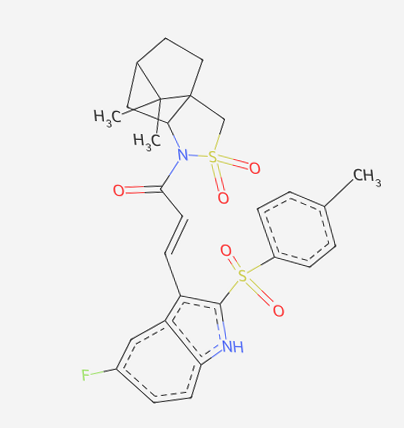 Cc1ccc(S(=O)(=O)c2[nH]c3ccc(F)cc3c2/C=C/C(=O)N2C3CC4CCC3(CS2(=O)=O)C4(C)C)cc1